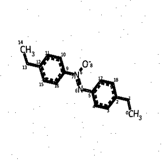 CCc1ccc(N=[N+]([O-])c2ccc(CC)cc2)cc1